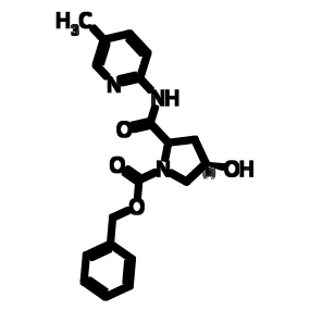 Cc1ccc(NC(=O)C2C[C@@H](O)CN2C(=O)OCc2ccccc2)nc1